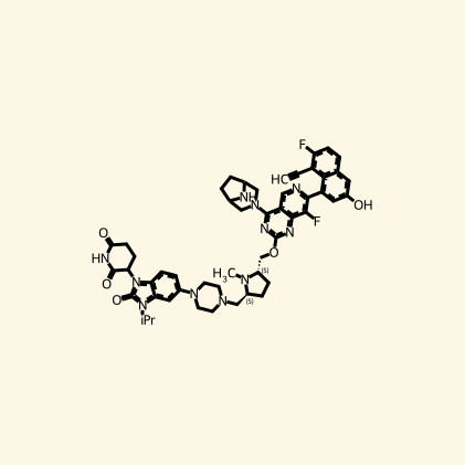 C#Cc1c(F)ccc2cc(O)cc(-c3ncc4c(N5CC6CCC(C5)N6)nc(OC[C@@H]5CC[C@@H](CN6CCN(c7ccc8c(c7)n(C(C)C)c(=O)n8C7CCC(=O)NC7=O)CC6)N5C)nc4c3F)c12